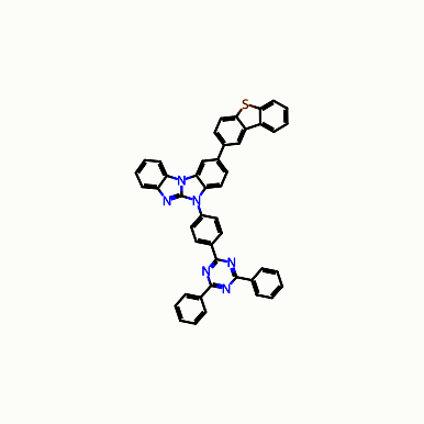 c1ccc(-c2nc(-c3ccccc3)nc(-c3ccc(-n4c5ccc(-c6ccc7sc8ccccc8c7c6)cc5n5c6ccccc6nc45)cc3)n2)cc1